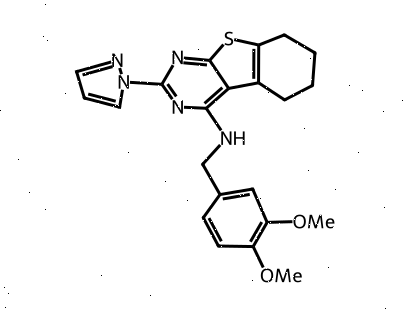 COc1ccc(CNc2nc(-n3cccn3)nc3sc4c(c23)CCCC4)cc1OC